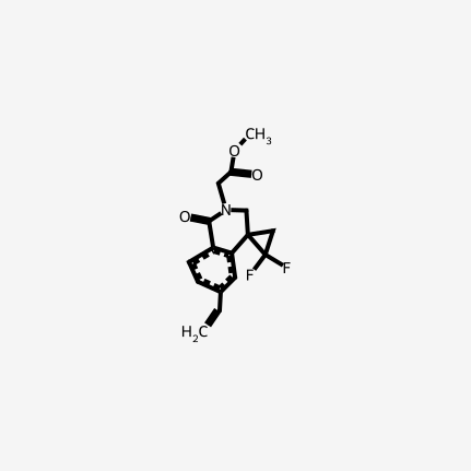 C=Cc1ccc2c(c1)C1(CN(CC(=O)OC)C2=O)CC1(F)F